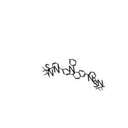 CC1(C)N=C(c2cccc(-c3ccc4c(ccc5c6ccc(-c7cccc(C8=NC(C)(C)C(C)(C)S8)n7)cc6n(-c6ccccc6)c45)c3)n2)SC1(C)C